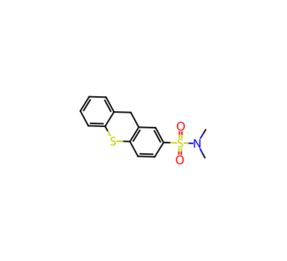 CN(C)S(=O)(=O)c1ccc2c(c1)Cc1ccccc1S2